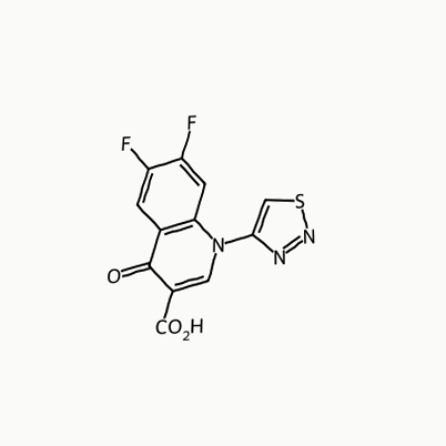 O=C(O)c1cn(-c2csnn2)c2cc(F)c(F)cc2c1=O